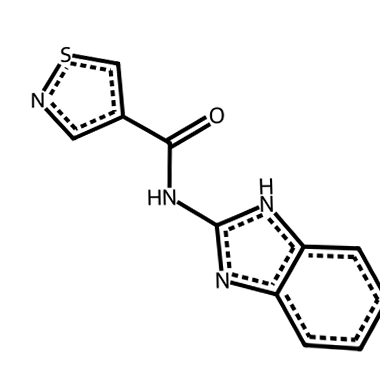 O=C(Nc1nc2ccccc2[nH]1)c1cnsc1